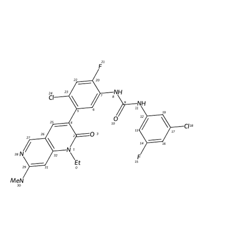 CCn1c(=O)c(-c2cc(NC(=O)Nc3cc(F)cc(Cl)c3)c(F)cc2Cl)cc2cnc(NC)cc21